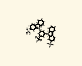 C[Si](C)(C)c1ccc2c3ccccc3n(-c3cc(-n4c5ccccc5c5ccc([Si](C)(C)C)cc54)cc(C(F)(F)F)c3)c2c1